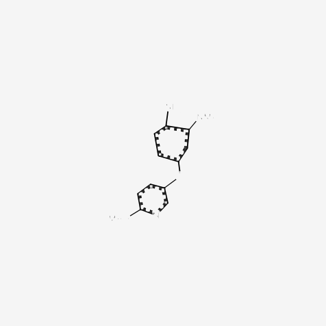 CNc1cc(Oc2ccc(OC)nc2)ccc1N